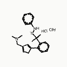 CN(C)CC1=CCC(c2ccccc2[C](C)(C)[Ti][NH]c2ccccc2)=C1.Cl.Cl